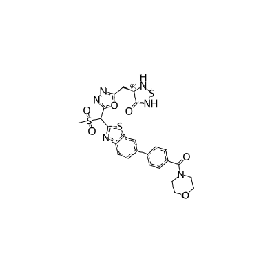 CS(=O)(=O)C(c1nnc(C[C@H]2NSNC2=O)o1)c1nc2ccc(-c3ccc(C(=O)N4CCOCC4)cc3)cc2s1